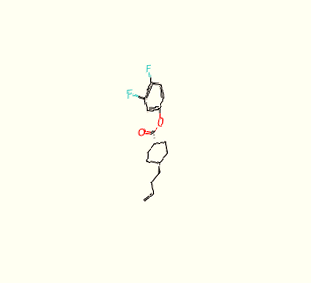 C=CCC[C@H]1CC[C@H](C(=O)Oc2ccc(F)c(F)c2)CC1